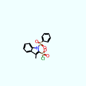 Cc1c(S(=O)(=O)Cl)n(S(=O)(=O)c2ccccc2)c2ccccc12